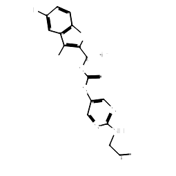 Cc1c([C@@H](NC(=O)Nc2cnc(NC[C@@H](C)O)nc2)C(C)C)oc2ccc(F)cc12